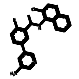 CC(Nc1c(Cl)cnc2ccccc12)c1cc(-c2cncc(N)c2)ccc1F